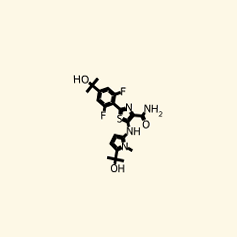 Cn1c(Nc2sc(-c3c(F)cc(C(C)(C)O)cc3F)nc2C(N)=O)ccc1C(C)(C)O